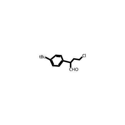 CC(C)(C)c1ccc(C(C=O)CCCl)cc1